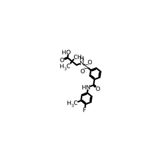 Cc1cc(NC(=O)c2cccc(S(=O)(=O)NCC(C)(C)C(=O)O)c2)ccc1F